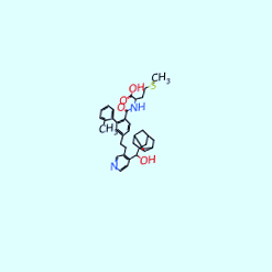 CSCCC(NC(=O)c1ccc(CCc2cnccc2C(O)C23CC4CC(CC(C4)C2)C3)cc1-c1ccccc1C)C(=O)O